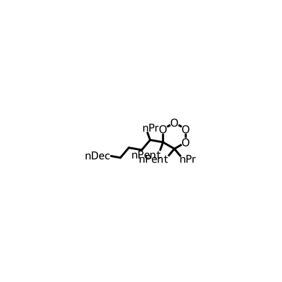 CCCCCCCCCCCCCC(CCC)C1(CCCCC)OOOOC1(CCC)CCCCC